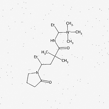 CCC(CC(C)(C)C(=O)NC(CC)[N+](C)(C)C)N1CCCC1=O